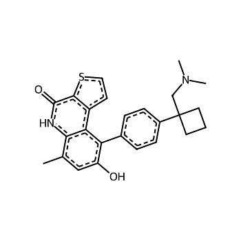 Cc1cc(O)c(-c2ccc(C3(CN(C)C)CCC3)cc2)c2c1[nH]c(=O)c1sccc12